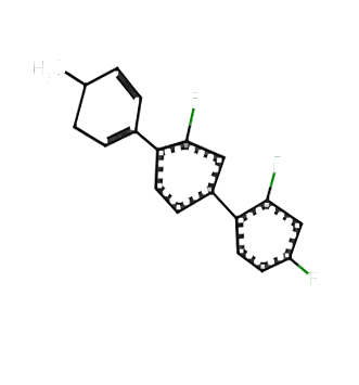 CC1C=CC(c2ccc(-c3ccc(F)cc3F)cc2F)=CC1